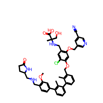 COc1cc(-c2cccc(-c3cccc(COc4cc(OCc5cncc(C#N)c5)c(CNC(C)(CO)C(=O)O)cc4Cl)c3C)c2C)ccc1CNCC1CCC(=O)N1